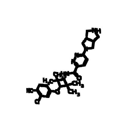 CC1(C)[C@H](NC(=O)c2ccc(N3CC4CNCC4C3)nn2)C(C)(C)[C@H]1Oc1ccc(C#N)c(Cl)c1